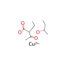 CCC(C(C)=O)C(=O)[O-].CCC(C)[O-].[Cu+2]